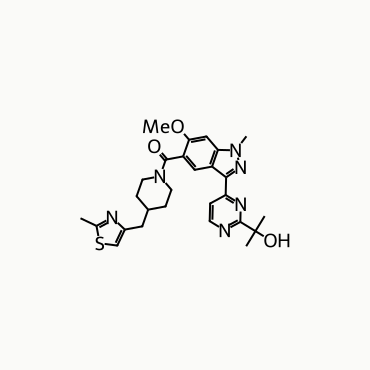 COc1cc2c(cc1C(=O)N1CCC(Cc3csc(C)n3)CC1)c(-c1ccnc(C(C)(C)O)n1)nn2C